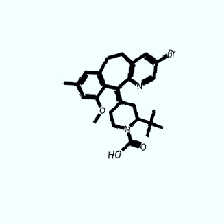 COc1cc(C)cc2c1C(=C1CCN(C(=O)O)C(C(C)(C)C)C1)c1ncc(Br)cc1CC2